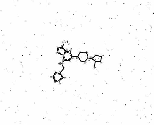 Bc1cnn2c(NCc3cccnc3)cc(C3CCN(C4CCCC4C)CC3)nc12